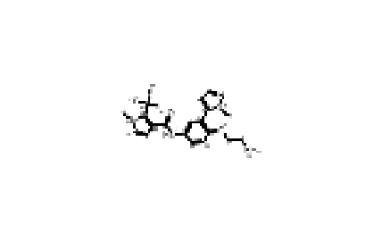 Cn1nccc1-c1cc(NC(=O)c2cnn(C)c2C(F)(F)F)ccc1OCCN